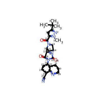 Cn1nc(C(C)(C)C)cc1C(=O)N1CC2CC1C1C(=O)N(c3ccc(C#N)c4ncccc34)C(=O)N21